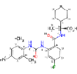 CCCc1cc(C)c(NC(=O)Nc2cc(F)ccc2C(=O)N[C@@](C)(C(=O)O)C2CCCCC2)c(C)c1